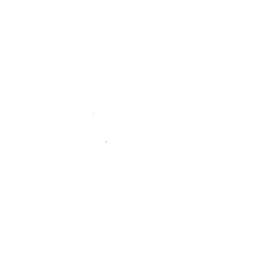 OCC1CCC2CC(O)C[CH]C2C1